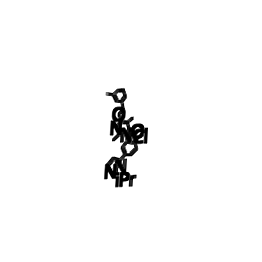 Cc1cccc(COc2nc(C)n(-c3cc(-c4ccnc(C(C)C)n4)ccc3Cl)c(=O)c2C)c1